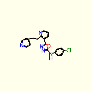 Clc1ccc(Nc2nnc(-c3cccnc3CCc3ccncc3)o2)cc1